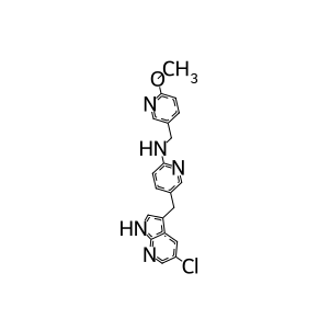 COc1ccc(CNc2ccc(Cc3c[nH]c4ncc(Cl)cc34)cn2)cn1